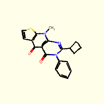 Cn1c2nc(C3CCC3)n(-c3ccccc3)c(=O)c2c(=O)c2ccsc21